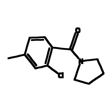 Cc1ccc(C(=O)N2CCCC2)c(Cl)c1